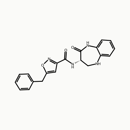 O=C(N[C@H]1CNc2ccccc2NC1=O)c1cc(Cc2ccccc2)on1